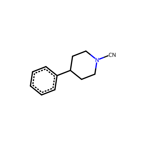 N#CN1CCC(c2ccccc2)CC1